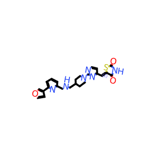 O=C1NC(=O)/C(=C/c2ccnc(N3CCC(CNCc4cccc(-c5ccoc5)n4)CC3)n2)S1